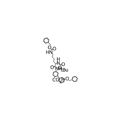 CC(C)(C)OC(=O)NC(CCCCNC(=O)OCc1ccccc1)C(=O)Nc1ccc(C(=O)O)c(-c2cccc(OCc3ccccc3)c2)c1